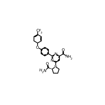 NC(=O)c1cc(N2CCC[C@H]2C(N)=O)nc(-c2ccc(OC3C=CC(C(F)(F)F)=CC3)cc2)n1